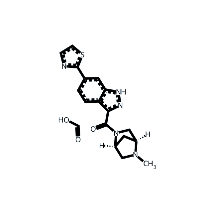 CN1C[C@@H]2C[C@H]1CN2C(=O)c1n[nH]c2cc(-c3nccs3)ccc12.O=CO